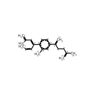 C=C(C)/C=C(\C=C/C)c1ccc(C(=C)CCC(=C)C)cc1C